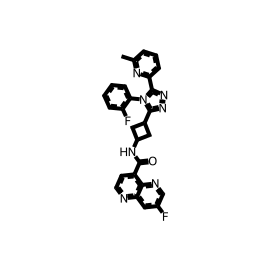 Cc1cccc(-c2nnc(C3CC(NC(=O)c4ccnc5cc(F)cnc45)C3)n2-c2ccccc2F)n1